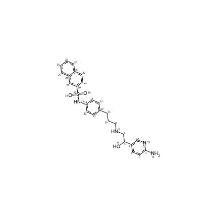 Nc1ccc(C(O)CNCCCc2ccc(NS(=O)(=O)c3ccc4ccccc4c3)cc2)cn1